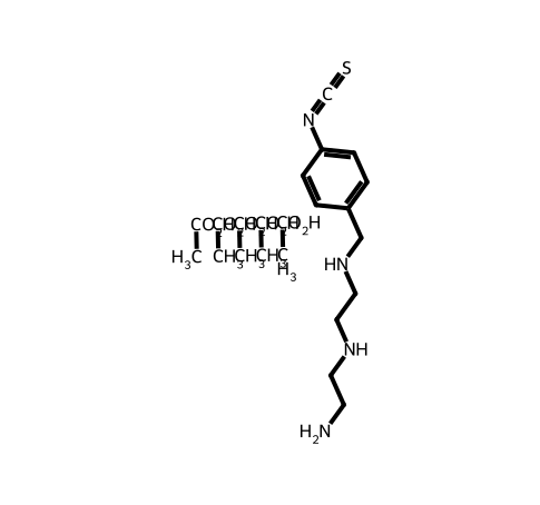 CC(=O)O.CC(=O)O.CC(=O)O.CC(=O)O.CC(=O)O.NCCNCCNCc1ccc(N=C=S)cc1